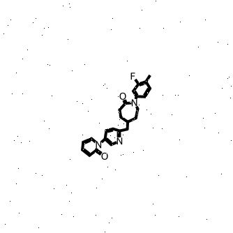 Cc1ccc(N2CCC(Cc3ccc(-n4ccccc4=O)cn3)CCC2=O)cc1F